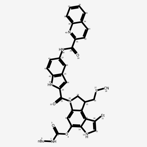 CCCCNC(=O)Oc1cc2c(c3c(CC)c[nH]c13)C(CSC#N)CN2C(=O)c1cc2cc(NC(=O)c3ccc4ccccc4n3)ccc2[nH]1